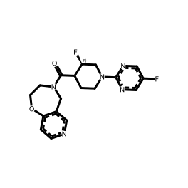 O=C(C1CCN(c2ncc(F)cn2)C[C@@H]1F)N1CCOc2ccncc2C1